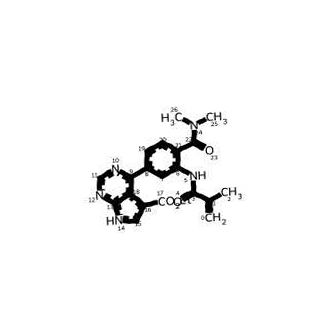 C=C(C)C(=O)Nc1cc(-c2ncnc3[nH]cc(C(=O)OCC)c23)ccc1C(=O)N(C)C